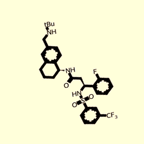 CC(C)(C)NCc1ccc2c(c1)CCC[C@H]2NC(=O)C[C@H](NS(=O)(=O)c1cccc(C(F)(F)F)c1)c1ccccc1F